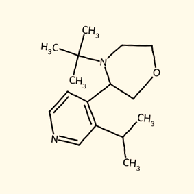 CC(C)c1cnccc1C1COCCN1C(C)(C)C